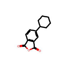 O=C1OC(=O)c2cc(C3CCCCC3)ccc21